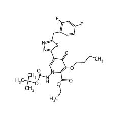 CCCCOc1c(C(=O)OCC)n(NC(=O)OC(C)(C)C)cc(-c2nnc(Cc3ccc(F)cc3F)s2)c1=O